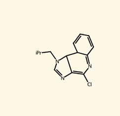 CC(C)CN1C=NC2=C(Cl)N=C3C=CC=CC3C21